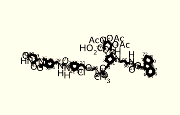 CC(=O)O[C@@H]1[C@@H](OC(C)=O)[C@H](Oc2ccc(COC(=O)N(C)CCOCCc3ccc(NC(=O)NCc4ccc5c(c4)CN(C4CCC(=O)NC4=O)C5=O)cc3Cl)cc2NCCCNC(=O)OCC2c3ccccc3-c3ccccc32)O[C@H](C(=O)O)[C@H]1OC(C)=O